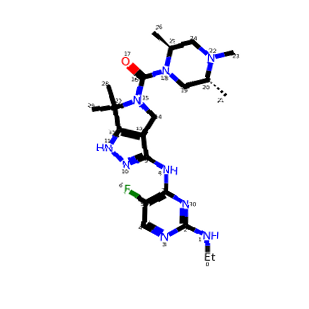 CCNc1ncc(F)c(Nc2n[nH]c3c2CN(C(=O)N2C[C@@H](C)N(C)C[C@@H]2C)C3(C)C)n1